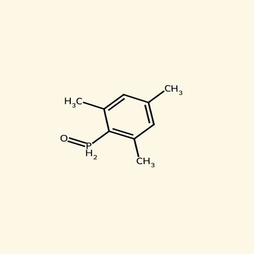 Cc1cc(C)c([PH2]=O)c(C)c1